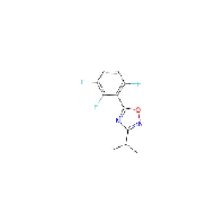 CC(C)c1noc(-c2c(F)ccc(F)c2F)n1